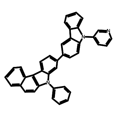 c1ccc(-n2c3cc(-c4ccc5c(c4)c4ccccc4n5-c4cccnc4)ccc3c3c4ccccc4ccc32)cc1